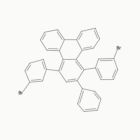 Brc1cccc(-c2cc(-c3ccccc3)c(-c3cccc(Br)c3)c3c4ccccc4c4ccccc4c23)c1